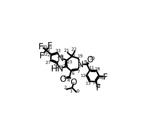 CC(C)OC(=O)C1=CN(C(=O)c2ccc(F)c(F)c2)CC(C)(C)c2c1[nH]c1cc(C(F)(F)F)cn21